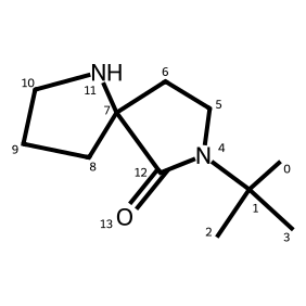 CC(C)(C)N1CCC2(CCCN2)C1=O